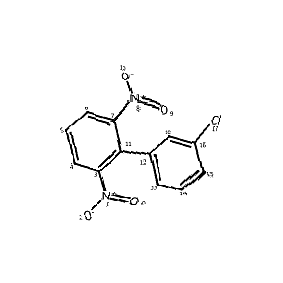 O=[N+]([O-])c1[c]ccc([N+](=O)[O-])c1-c1cccc(Cl)c1